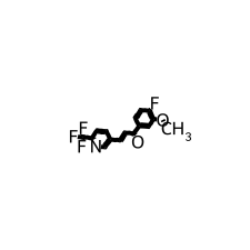 COc1cc(C(=O)C=Cc2ccc(C(F)(F)F)nc2)ccc1F